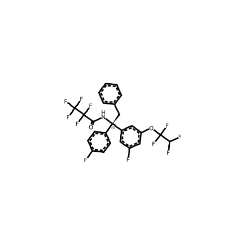 O=C(N[C@@](Cc1ccccc1)(c1ccc(F)cc1)c1cc(F)cc(OC(F)(F)C(F)F)c1)C(F)(F)C(F)(F)F